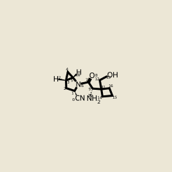 N#C[C@@H]1C[C@@H]2C[C@@H]2N1C(=O)[C@@H](N)C1(CO)CCC1